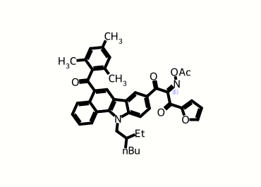 CCCCC(CC)Cn1c2ccc(C(=O)/C(=N\OC(C)=O)C(=O)c3ccco3)cc2c2cc(C(=O)c3c(C)cc(C)cc3C)c3ccccc3c21